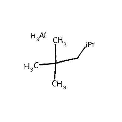 [AlH3].[CH2]C(C)CC(C)(C)C